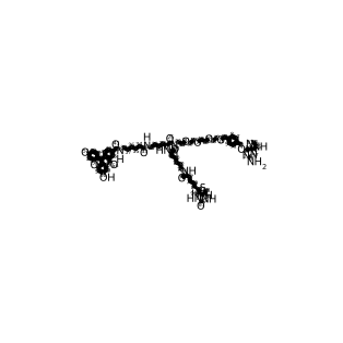 Nc1nc(OCc2ccc(COCCOCCOCCOCCNC(=O)C(CCCCNC(=O)CCCCCNC(=O)c3ccc(-c4c5ccc(=O)cc-5oc5cc(O)ccc45)c(C=O)c3)NC(=O)CCCCCNC(=O)CCCC[C@H]3SC[C@H]4NC(=O)N[C@H]43)cc2)c2nc[nH]c2n1